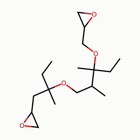 CCC(C)(CC1CO1)OCC(C)C(C)(CC)OCC1CO1